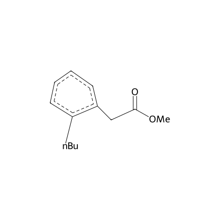 CCCCc1ccccc1CC(=O)OC